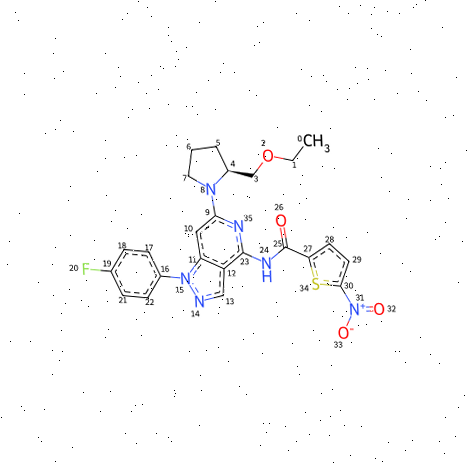 CCOC[C@@H]1CCCN1c1cc2c(cnn2-c2ccc(F)cc2)c(NC(=O)c2ccc([N+](=O)[O-])s2)n1